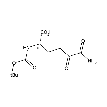 CC(C)(C)OC(=O)N[C@@H](CCC(=O)C(N)=O)C(=O)O